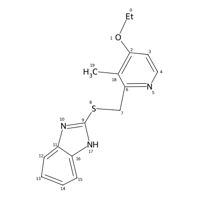 CCOc1ccnc(CSc2nc3ccccc3[nH]2)c1C